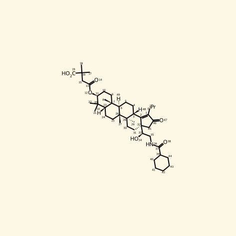 CC(C)C1=C2[C@H]3CC[C@@H]4[C@@]5(C)CC[C@H](OC(=O)CC(C)(C)C(=O)O)C(C)(C)[C@H]5CC[C@@]4(C)[C@]3(C)CC[C@@]2([C@H](O)CNC(=O)C2CCCCC2)CC1=O